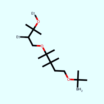 BC(C)(C)OCCC(C)(C)C(C)(C)OCC(CC)C(C)(C)OCC